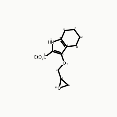 CCOC(=O)c1[nH]c2c(c1OCC1CO1)CCCC2